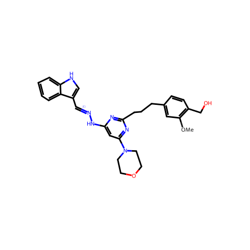 COc1cc(CCCc2nc(N/N=C/c3c[nH]c4ccccc34)cc(N3CCOCC3)n2)ccc1CO